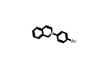 CC(=O)c1ccc(N2C=Cc3ccccc3C2)cc1